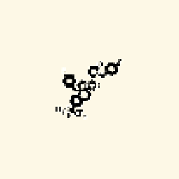 CC(F)(c1ccc2c(c1)CC[C@H]1N(C(=O)[C@@H]3CCC(=O)N3Cc3ccc(F)cc3)CC[C@@]21Cc1ccc(F)cc1)C(F)(F)F